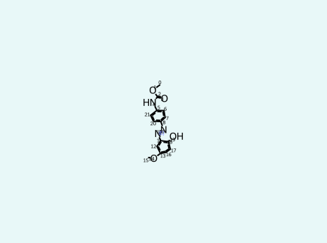 COC(=O)Nc1ccc(/N=N/c2cc(OC)ccc2O)cc1